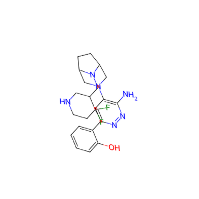 Nc1nnc(-c2ccccc2O)cc1N1CC2CCC(C1)N2CC1CNCCC1(F)F